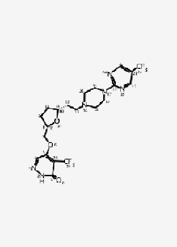 O=c1[nH]ncc(OC[C@H]2CC[C@H](CCN3CCN(c4ncc(C(F)(F)F)cn4)CC3)O2)c1C(F)(F)F